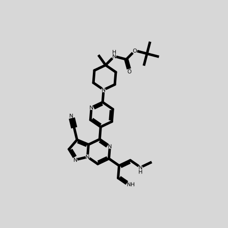 CN/C=C(\C=N)c1cn2ncc(C#N)c2c(-c2ccc(N3CCC(C)(NC(=O)OC(C)(C)C)CC3)nc2)n1